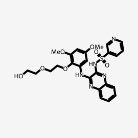 COc1cc(Nc2nc3ccccc3nc2NS(=O)(=O)c2cccnc2)c(OCCOCCO)c(OC)c1